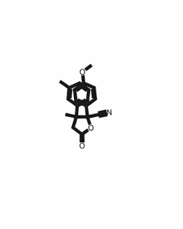 COc1ccc(C2(C#N)OC(=O)CC2(C)c2cccc(C)c2)cc1